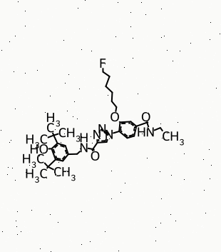 CCNC(=O)c1ccc(-n2cc(C(=O)NCc3cc(C(C)(C)C)c(O)c(C(C)(C)C)c3)nn2)c(OCCCCCCF)c1